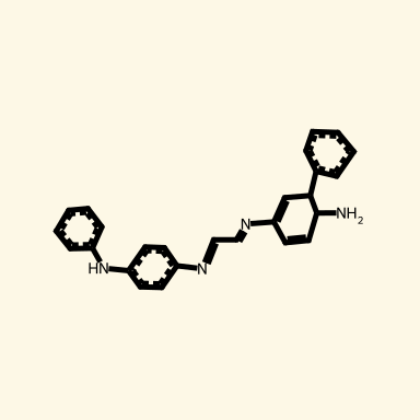 NC1C=CC(/N=C/C=N/c2ccc(Nc3ccccc3)cc2)=CC1c1ccccc1